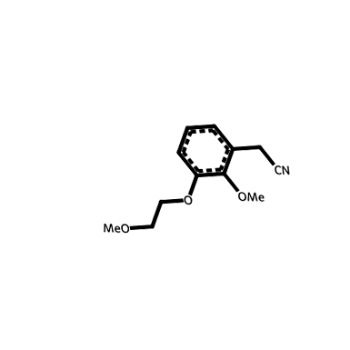 COCCOc1cccc(CC#N)c1OC